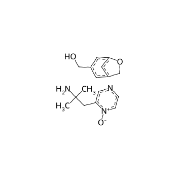 CC(C)(N)Cc1cncc[n+]1[O-].OCc1cc2cc(c1)OC2